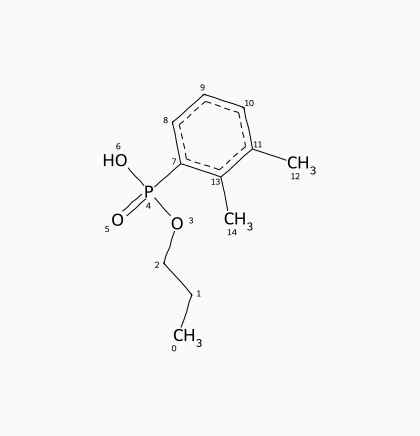 CCCOP(=O)(O)c1cccc(C)c1C